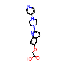 O=C(O)COc1ccc2nc(N3CCN(c4ccncc4)CC3)ccc2c1